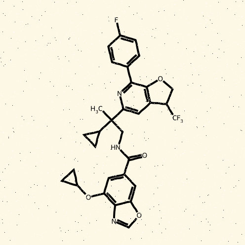 CC(CNC(=O)c1cc(OC2CC2)c2ncoc2c1)(c1cc2c(c(-c3ccc(F)cc3)n1)OCC2C(F)(F)F)C1CC1